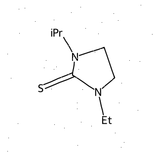 CCN1CCN(C(C)C)C1=S